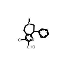 CN1CCc2c(sc(C=O)c2Cl)C(c2ccccc2)C1